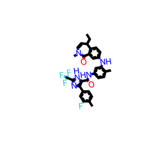 CCC1C=CN(C)C(=O)c2cc(Nc3cc(NC(=O)c4[nH]c(C(F)(F)F)nc4-c4ccc(C)c(F)c4)ccc3C)ccc21